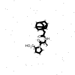 C[C@H](NC(=O)CC12CC3CC(CC(C3)C1)C2)C(=O)N1CCC[C@H]1C(=O)O